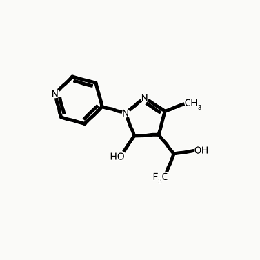 CC1=NN(c2ccncc2)C(O)C1C(O)C(F)(F)F